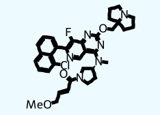 COC/C=C/C(=O)N1CC[C@@H](N(C)c2nc(OCC34CCCN3CCC4)nc3c(F)c(-c4cccc5cccc(Cl)c45)ncc23)C1